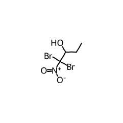 CCC(O)C(Br)(Br)[N+](=O)[O-]